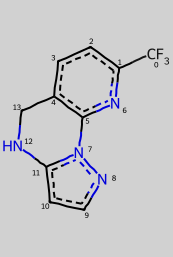 FC(F)(F)c1ccc2c(n1)-n1nccc1NC2